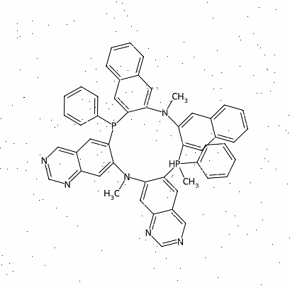 CN1c2cc3ccccc3cc2P(c2ccccc2)c2cc3cncnc3cc2N(C)c2cc3ncncc3cc2[PH](C)(c2ccccc2)c2cc3ccccc3cc21